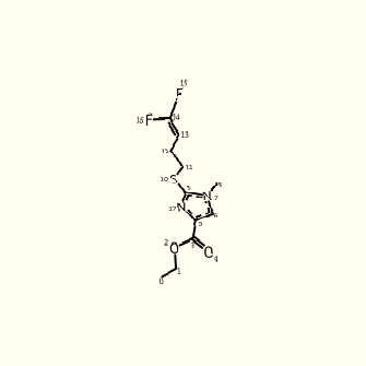 CCOC(=O)c1cn(C)c(SCCC=C(F)F)n1